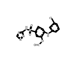 O=COc1cc(S(=O)(=O)Nc2nncs2)ccc1Nc1cccc(Cl)c1